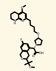 COc1cc(CCCCO[C@@H]2CCN([C@H](C(=O)O)c3cc(F)cc4c3CC(C(C)(C)OC)OC4)C2)nc2c1CCCN2